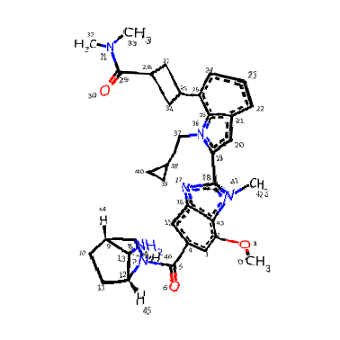 COc1cc(C(=O)N2C[C@H]3CC[C@@H]2[C@@H]3N)cc2nc(-c3cc4cccc(C5CC(C(=O)N(C)C)C5)c4n3CC3CC3)n(C)c12